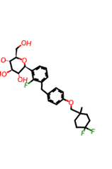 CC1(COc2ccc(Cc3cccc([C@@H]4O[C@H](CO)[C@@H](O)[C@H](O)[C@H]4O)c3F)cc2)CCC(F)(F)CC1